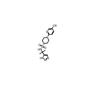 CC(C)(NS(=O)(=O)N1CCN(c2ccc(C#N)cn2)CC1)c1cnn[nH]1